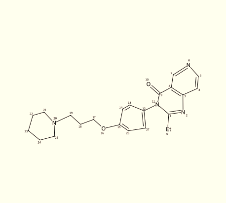 CCc1nc2ccncc2c(=O)n1-c1ccc(OCCCN2CCCCC2)cc1